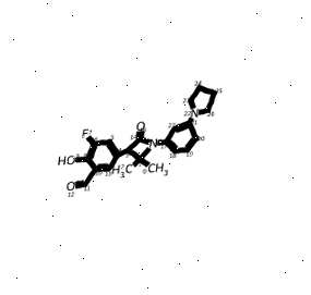 CC1(C)C(c2cc(F)c(O)c(C=O)c2)C(=O)N1c1cccc(N2CCCC2)c1